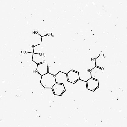 CNC(=O)Nc1ccccc1-c1ccc(CN2C(=O)[C@H](NC(=O)CC(C)(C)NC[C@H](C)O)CCc3ccccc32)cc1